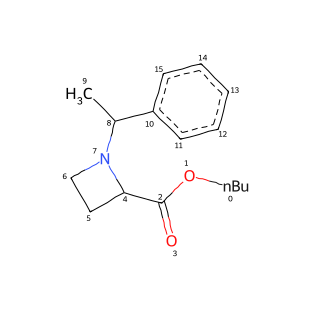 CCCCOC(=O)C1CCN1C(C)c1ccccc1